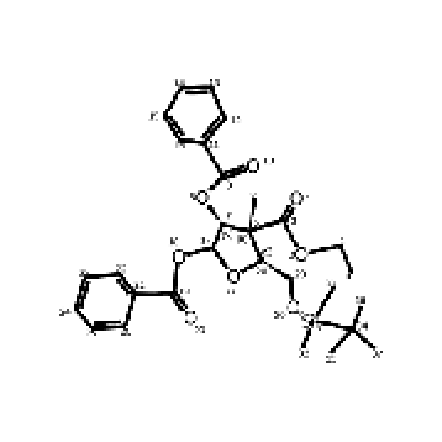 CCOC(=O)[C@@]1(C)[C@H](OC(=O)c2ccccc2)C(OC(=O)c2ccccc2)O[C@@H]1CO[Si](C)(C)C(C)(C)C